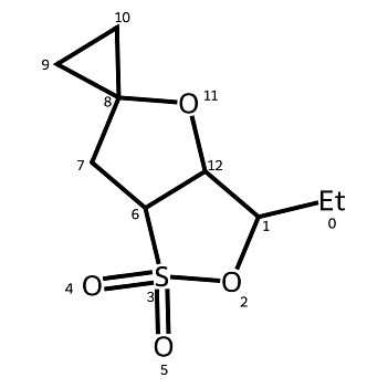 CCC1OS(=O)(=O)C2CC3(CC3)OC12